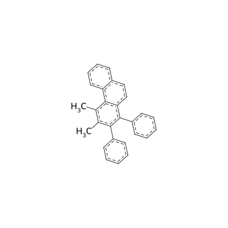 Cc1c(-c2ccccc2)c(-c2ccccc2)c2ccc3ccccc3c2c1C